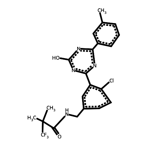 Cc1cccc(-c2nc(O)nc(-c3cc(CNC(=O)C(C)(C)C(F)(F)F)ccc3Cl)n2)c1